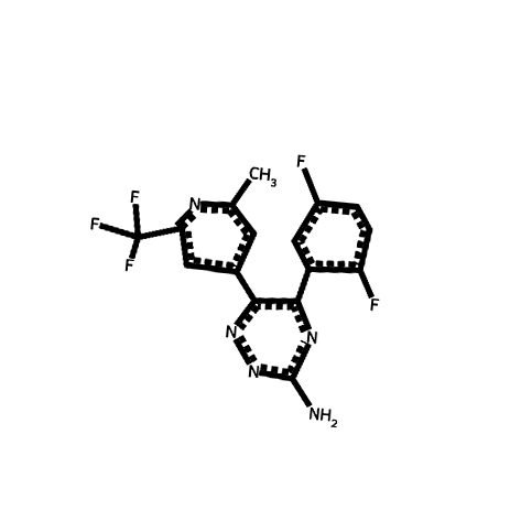 Cc1cc(-c2nnc(N)nc2-c2cc(F)ccc2F)cc(C(F)(F)F)n1